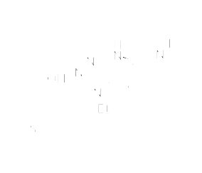 CCN1CCC[C@@H](Nc2nnc(-c3ccc4sccc4c3O)n(CC)c2=O)C1